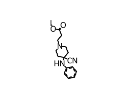 N#CC1(Nc2ccccc2)CCN(CCC(=O)OI)CC1